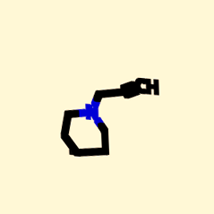 C#CCN1CC[CH]CC1